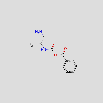 NCC(NC(=O)OC(=O)c1ccccc1)C(=O)O